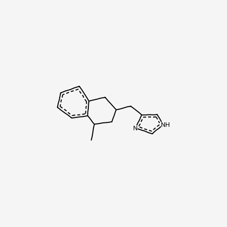 CC1CC(Cc2c[nH]cn2)Cc2ccccc21